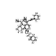 N#CC(C#N)=C1c2ccccc2-c2c(OCCc3ccccc3)ccc(C(=O)C#Cc3ccccc3)c21